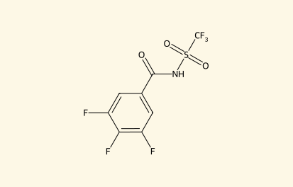 O=C(NS(=O)(=O)C(F)(F)F)c1cc(F)c(F)c(F)c1